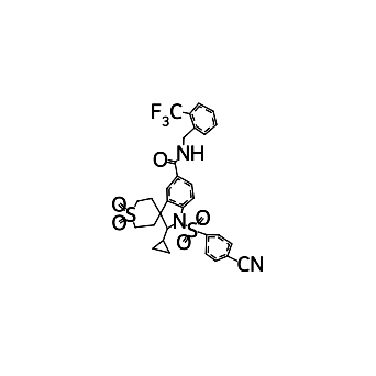 N#Cc1ccc(S(=O)(=O)N2c3ccc(C(=O)NCc4ccccc4C(F)(F)F)cc3C3(CCS(=O)(=O)CC3)C2C2CC2)cc1